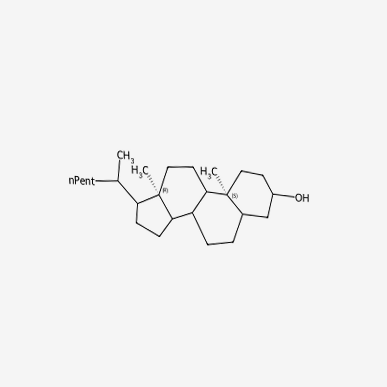 CCCCCC(C)C1CCC2C3CCC4CC(O)CC[C@]4(C)C3CC[C@]12C